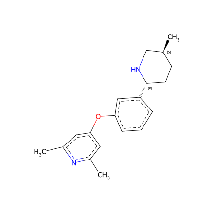 Cc1cc(Oc2cccc([C@H]3CC[C@H](C)CN3)c2)cc(C)n1